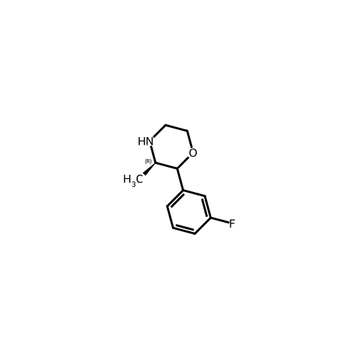 C[C@H]1NCCOC1c1cccc(F)c1